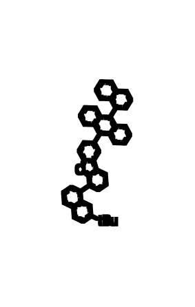 CC(C)(C)c1ccc2cccc(-c3cccc4c3oc3ccc(-c5c6ccccc6c(-c6cccc7ccccc67)c6ccccc56)cc34)c2c1